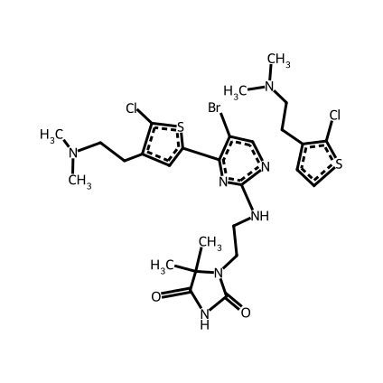 CN(C)CCc1cc(-c2nc(NCCN3C(=O)NC(=O)C3(C)C)ncc2Br)sc1Cl.CN(C)CCc1ccsc1Cl